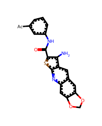 CC(=O)c1cccc(NC(=O)c2sc3nc4cc5c(cc4cc3c2N)OCO5)c1